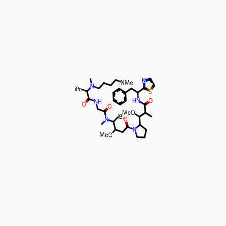 CCC(C)C(C(CC(=O)N1CCCC1C(OC)C(C)C(=O)NC(Cc1ccccc1)c1nccs1)OC)N(C)C(=O)CNC(=O)C(C(C)C)N(C)CCCCNC